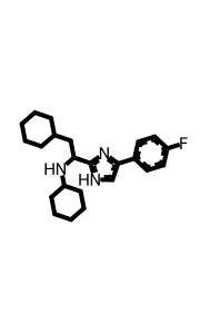 Fc1ccc(-c2c[nH]c(C(CC3CCCCC3)NC3CCCCC3)n2)cc1